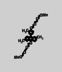 COCCOCCOCCOc1ccc(-c2c3ccc(C)cc3c(OCCOCCOCCOC)c3ccc(C)cc23)cc1C